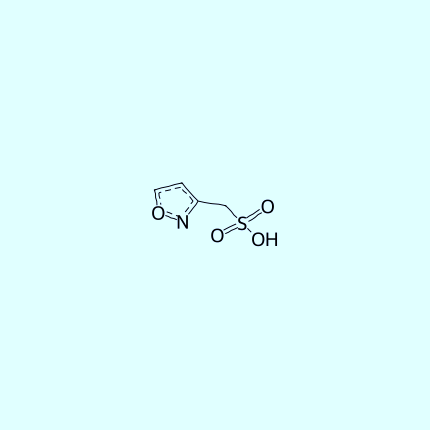 O=S(=O)(O)Cc1ccon1